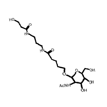 CC(=O)NC1C(OCCCCC(=O)NCCCNC(=O)CCO)OC(CO)C(O)C1O